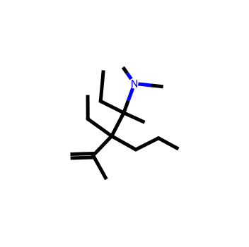 C=C(C)C(CC)(CCC)C(C)(CC)N(C)C